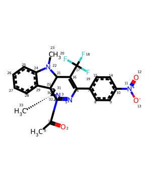 CC(=O)N1C2=NC(c3ccc([N+](=O)[O-])cc3)=C(C(F)(F)F)C3N(C)c4ccccc4[C@]23C[C@H]1C